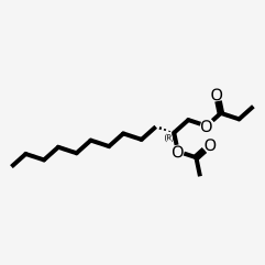 CCCCCCCCCC[C@H](COC(=O)CC)OC(C)=O